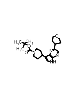 CC(C)(C)OC(=O)N1CCC(c2c[nH]c3ncc(C4CCOCC4)nc23)CC1